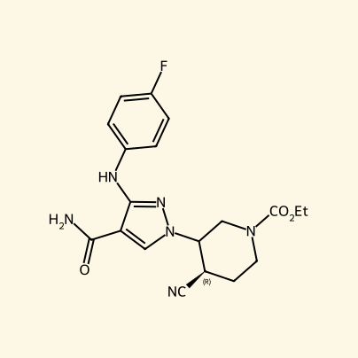 CCOC(=O)N1CC[C@@H](C#N)C(n2cc(C(N)=O)c(Nc3ccc(F)cc3)n2)C1